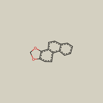 c1ccc2c(c1)ccc1c3c(ccc12)OCO3